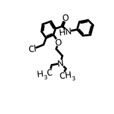 CCN(CC)CCOc1c(CCl)cccc1C(=O)Nc1ccccc1